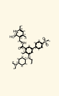 CCN(c1cc(-c2ccc(S(C)(=O)=O)cc2)cc(C(=O)NCC2=C(C)C=C(C)NC2O)c1C)[C@H]1CC[C@H](N(C)C)CC1